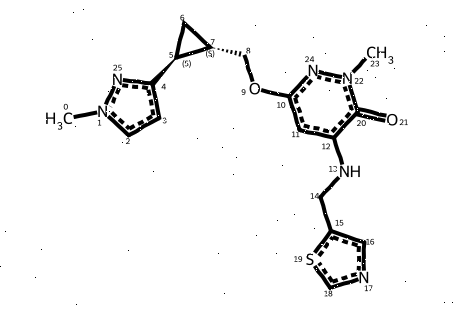 Cn1ccc([C@H]2C[C@@H]2COc2cc(NCc3cncs3)c(=O)n(C)n2)n1